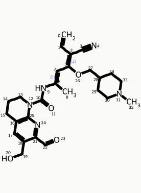 C=C/C(C#N)=C(\C=C(/C)NC(=O)N1CCCc2cc(CO)c(C=O)nc21)OCC1CCN(C)CC1